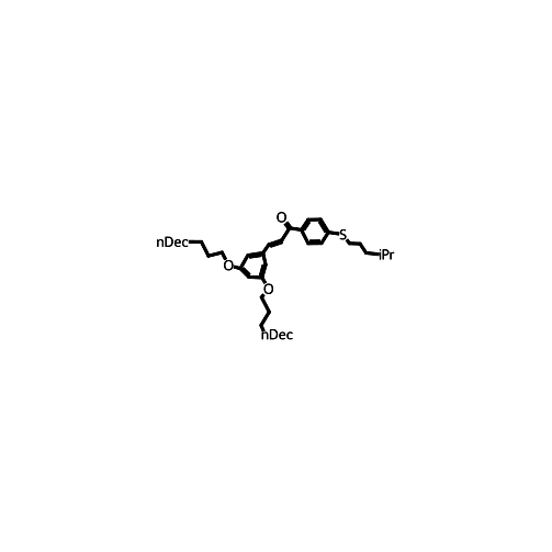 CCCCCCCCCCCCCOc1cc(C=CC(=O)c2ccc(SCCCC(C)C)cc2)cc(OCCCCCCCCCCCCC)c1